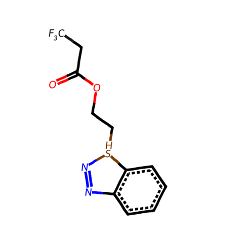 O=C(CC(F)(F)F)OCC[SH]1N=Nc2ccccc21